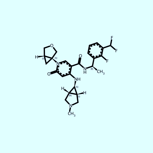 C[C@@H](NC(=O)c1cn([C@]23COC[C@H]2C3)c(=O)cc1N[C@H]1[C@@H]2CN(C)C[C@@H]21)c1cccc(C(F)F)c1F